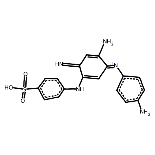 N=C1C=C(N)/C(=N/c2ccc(N)cc2)C=C1Nc1ccc(S(=O)(=O)O)cc1